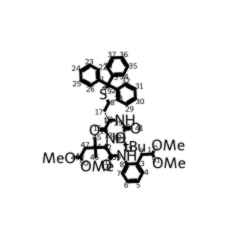 COC(Cc1ccccc1NC(=O)C(NC(=O)[C@H](CCSC(c1ccccc1)(c1ccccc1)c1ccccc1)NC(=O)OC(C)(C)C)C(C)(C)CC(OC)OC)OC